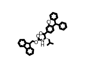 CC(C)C[C@H](NC(=O)OCC1c2ccccc2-c2ccccc21)C(=O)c1ccc([C](c2ccccc2)c2ccccc2)c(Cl)c1